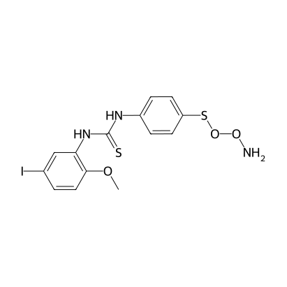 COc1ccc(I)cc1NC(=S)Nc1ccc(SOON)cc1